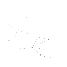 CC(SC1CC2CCC1C2)S(=O)(=O)O